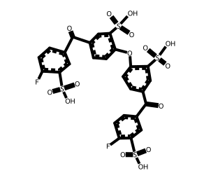 O=C(c1ccc(F)c(S(=O)(=O)O)c1)c1ccc(Oc2ccc(C(=O)c3ccc(F)c(S(=O)(=O)O)c3)cc2S(=O)(=O)O)c(S(=O)(=O)O)c1